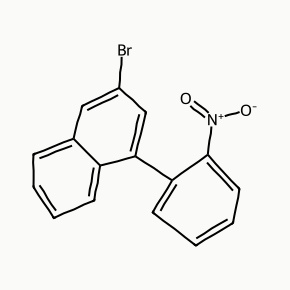 O=[N+]([O-])c1ccccc1-c1cc(Br)cc2ccccc12